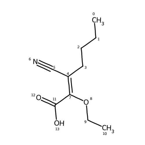 CCCC/C(C#N)=C(\OCC)C(=O)O